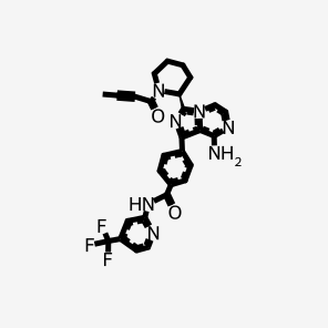 CC#CC(=O)N1CCCC[C@H]1c1nc(-c2ccc(C(=O)Nc3cc(C(F)(F)F)ccn3)cc2)c2c(N)nccn12